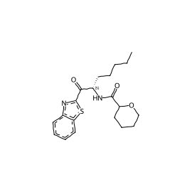 CCCCC[C@H](NC(=O)C1CCCCO1)C(=O)c1nc2ccccc2s1